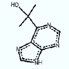 CC(C)(O)c1ncnc2[nH]cnc12